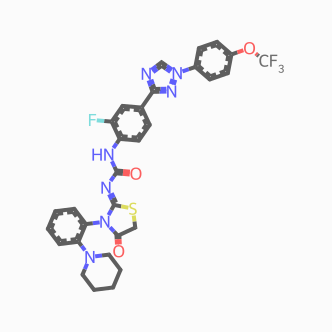 O=C(N=C1SCC(=O)N1c1ccccc1N1CCCCC1)Nc1ccc(-c2ncn(-c3ccc(OC(F)(F)F)cc3)n2)cc1F